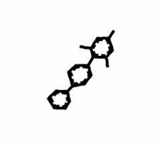 Cc1cc(C)c(-c2ccc(-c3ccccc3)cc2)c(C)c1